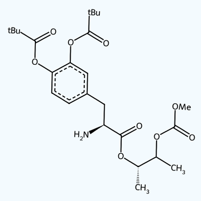 COC(=O)OC(C)[C@H](C)OC(=O)[C@@H](N)Cc1ccc(OC(=O)C(C)(C)C)c(OC(=O)C(C)(C)C)c1